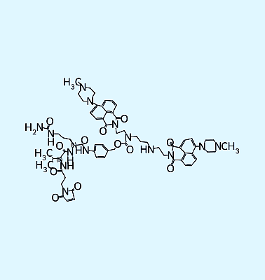 CC(C)[C@H](NC(=O)CCN1C(=O)C=CC1=O)C(=O)N[C@@H](CCCNC(N)=O)C(=O)Nc1ccc(COC(=O)N(CCCNCCN2C(=O)c3cccc4c(N5CCN(C)CC5)ccc(c34)C2=O)CCN2C(=O)c3cccc4c(N5CCN(C)CC5)ccc(c34)C2=O)cc1